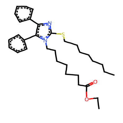 CCCCCCCCSc1nc(-c2ccccc2)c(-c2ccccc2)n1CCCCCCCC(=O)OCC